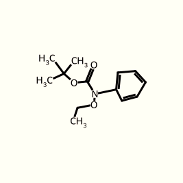 CCON(C(=O)OC(C)(C)C)c1ccccc1